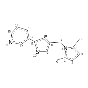 Cc1ccc(C)n1Cc1csc(-c2cccnc2)c1